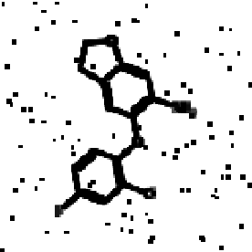 Nc1cc2c(cc1Oc1ccc(F)cc1Cl)CCO2